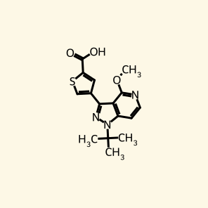 COc1nccc2c1c(-c1csc(C(=O)O)c1)nn2C(C)(C)C